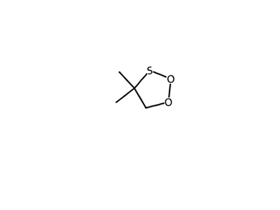 CC1(C)COOS1